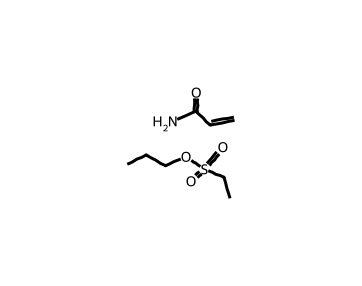 C=CC(N)=O.CCCOS(=O)(=O)CC